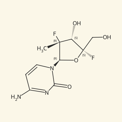 C[C@]1(F)[C@H](n2ccc(N)nc2=O)O[C@](F)(CO)[C@H]1O